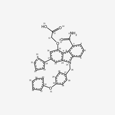 NC(=O)c1cccc2c1c1c(OCC(=O)O)cc(-c3cccs3)cc1n2Cc1ccc(Oc2ccccc2)cc1